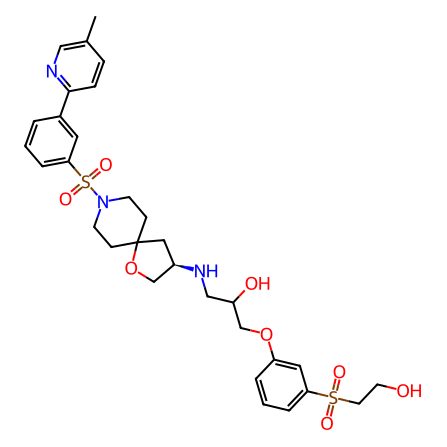 Cc1ccc(-c2cccc(S(=O)(=O)N3CCC4(CC3)C[C@@H](NCC(O)COc3cccc(S(=O)(=O)CCO)c3)CO4)c2)nc1